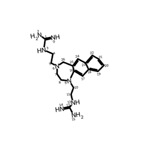 N=C(N)NCCN1CCN(CCNC(=N)N)c2cc3ccccc3cc2C1